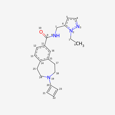 CCn1nccc1CNC(=O)c1ccc2c(c1)CCN(C1=CC=C1)CC2